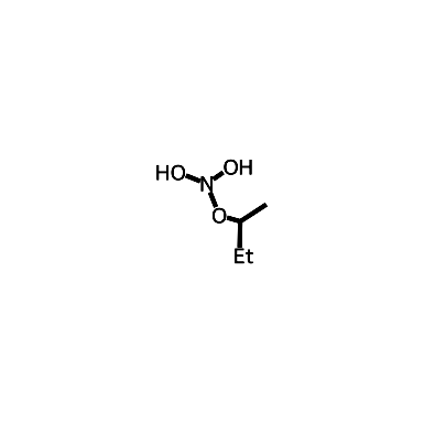 CCC(C)ON(O)O